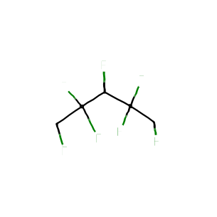 FCC(F)(F)C(F)C(F)(F)CF